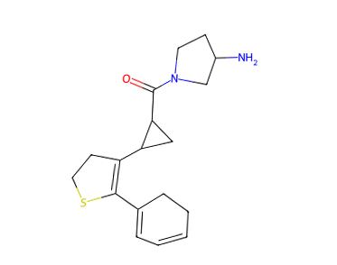 NC1CCN(C(=O)C2CC2C2=C(C3=CC=CCC3)SCC2)C1